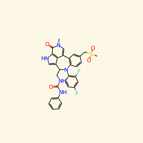 Cn1cc2c3c(c[nH]c3c1=O)C(CNC(=O)Nc1ccccc1)N(c1ccc(F)cc1F)c1ccc(CS(C)(=O)=O)cc1-2